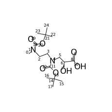 CN(CCN(C[C@H](O)C(=O)O)C(=O)OC(C)(C)C)C(=O)OC(C)(C)C